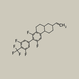 C=CC1CCC2c3cc(F)c(-c4cc(F)c(C(F)(F)F)c(F)c4)c(F)c3CCC2C1